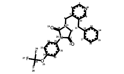 O=C1CN(Cc2ccncc2Cc2ccccc2)C(=O)N1c1ccc(OC(F)(F)F)cc1